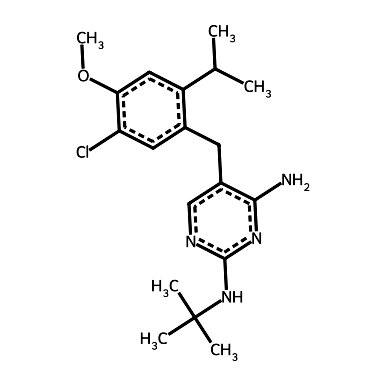 COc1cc(C(C)C)c(Cc2cnc(NC(C)(C)C)nc2N)cc1Cl